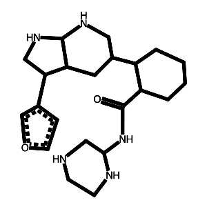 O=C(NC1CNCCN1)C1CCCCC1C1CNC2NCC(c3ccoc3)C2C1